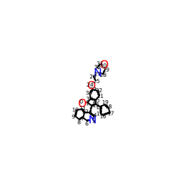 O=C1C(c2cncc3ccccc23)=C(c2ccccc2)c2ccc(OCCN3CCOCC3)cc21